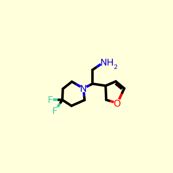 NCC(C1C=COC1)N1CCC(F)(F)CC1